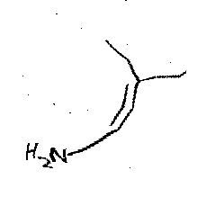 CC(C)=CN